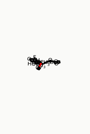 C[C@@H]1C[C@H]2[C@@H]3C[C@H](F)C4=CC(=O)C=C[C@]4(C)[C@@]3(F)[C@@H](O)C[C@]2(C)[C@@]1(OC(=O)c1ccco1)C(=O)SCC#CCOC(=O)OCC1COC2(CCCC2)O1